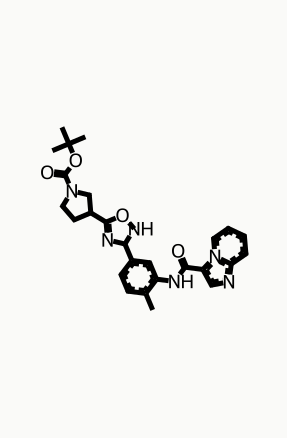 Cc1ccc(C2N=C(C3CCN(C(=O)OC(C)(C)C)C3)ON2)cc1NC(=O)c1cnc2ccccn12